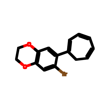 Brc1cc2c(cc1C1=CC=CC=CC1)OCCO2